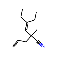 C=CCC(C)(C#N)C=C(CC)CC